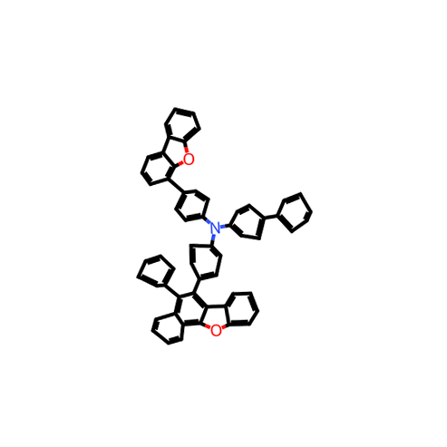 c1ccc(-c2ccc(N(c3ccc(-c4cccc5c4oc4ccccc45)cc3)c3ccc(-c4c(-c5ccccc5)c5ccccc5c5oc6ccccc6c45)cc3)cc2)cc1